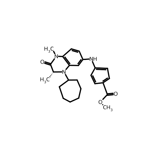 COC(=O)c1ccc(Nc2ccc3c(c2)N(C2CCCCCC2)[C@H](C)C(=O)N3C)cc1